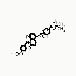 COc1ccc(CN2C(=O)CCc3c(OCC4(O)CCN(C(=O)OC(C)(C)C)CC4)ccc(F)c32)cc1